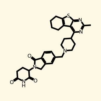 Cc1nc(C2CCN(Cc3ccc4c(c3)CN(C3CCC(=O)NC3=O)C4=O)CC2)c2c3c(sc2n1)CCCC3